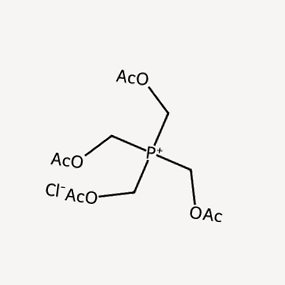 CC(=O)OC[P+](COC(C)=O)(COC(C)=O)COC(C)=O.[Cl-]